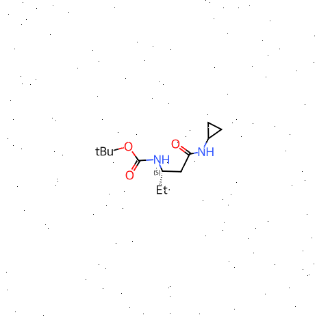 C[CH][C@@H](CC(=O)NC1CC1)NC(=O)OC(C)(C)C